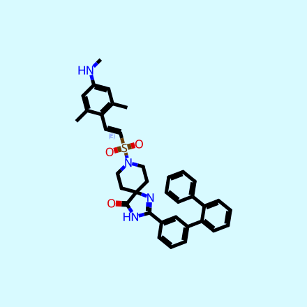 CNc1cc(C)c(/C=C/S(=O)(=O)N2CCC3(CC2)N=C(c2cccc(-c4ccccc4-c4ccccc4)c2)NC3=O)c(C)c1